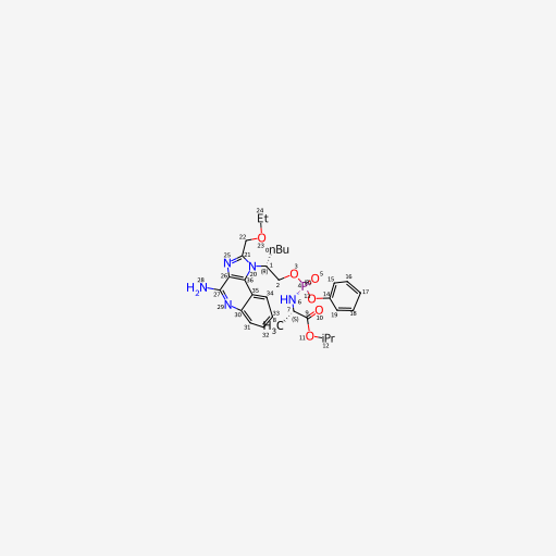 CCCC[C@H](CO[P@](=O)(N[C@@H](C)C(=O)OC(C)C)Oc1ccccc1)n1c(COCC)nc2c(N)nc3ccccc3c21